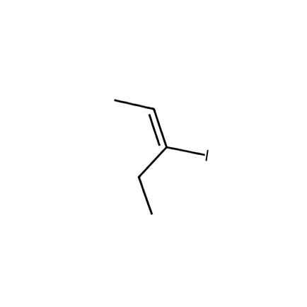 C/C=C(/I)CC